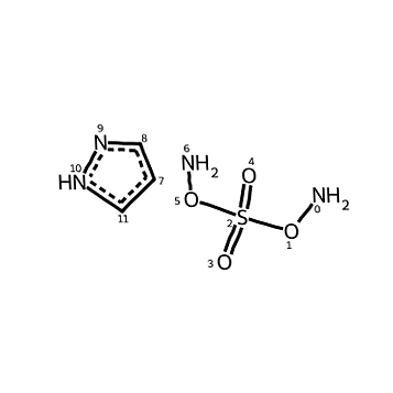 NOS(=O)(=O)ON.c1cn[nH]c1